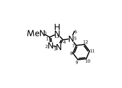 CNc1nnc(N(C)c2ccccc2)[nH]1